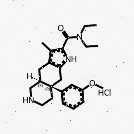 CCN(CC)C(=O)c1[nH]c2c(c1C)C[C@@H]1CNCC[C@@]1(c1cccc(OC)c1)C2.Cl